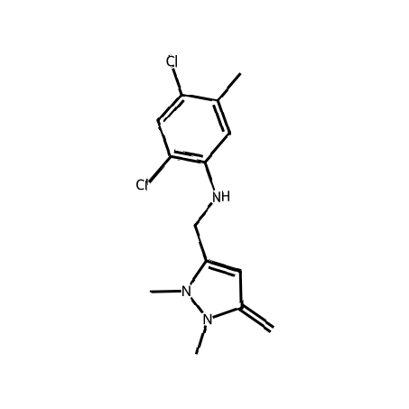 C=C1C=C(CNc2cc(C)c(Cl)cc2Cl)N(C)N1C